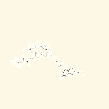 CC(C)(C)OC(=O)C(=O)NC[C@H](NC(=O)N[C@@H](CCCCNC(=O)Cc1cc(=O)oc2cc(N)ccc12)C(=O)OC(C)(C)C)C(=O)OC(C)(C)C